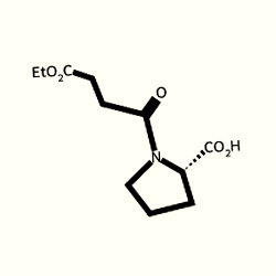 CCOC(=O)CCC(=O)N1CCC[C@H]1C(=O)O